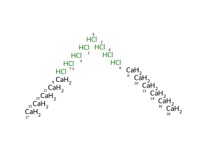 Cl.Cl.Cl.Cl.Cl.Cl.Cl.Cl.[CaH2].[CaH2].[CaH2].[CaH2].[CaH2].[CaH2].[CaH2].[CaH2].[CaH2].[CaH2].[CaH2]